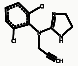 C#CCN(C1=NCCN1)c1c(Cl)cccc1Cl